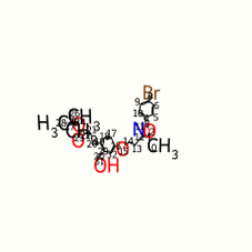 Cc1oc(-c2ccc(Br)cc2)nc1CCOc1ccc(CCC(=O)OC(C)(C)C)c(CO)c1